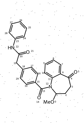 COC1CCC(=O)c2ccccc2N1C(=O)c1ccc(CC(=O)Nc2ccccc2)cc1